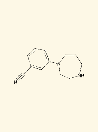 N#Cc1cccc(N2CCCNCC2)c1